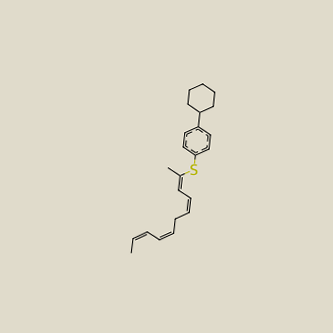 C/C=C\C=C/C/C=C\C=C(\C)Sc1ccc(C2CCCCC2)cc1